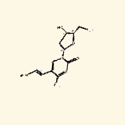 CCCCCC/C=C/c1cn([C@H]2C[C@H](O)[C@@H](CO)O2)c(=O)nc1N